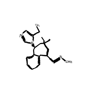 CON=CC1CC(C)(C)[C@H](n2cncc2CO)c2ccccc21